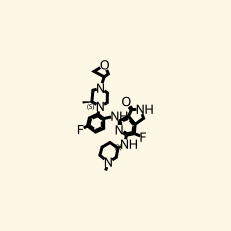 C[C@H]1CN(C2COC2)CCN1c1cc(F)ccc1Nc1nc(N[C@@H]2CCCN(C)C2)c(F)c2c1C(=O)NC2